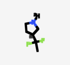 [2H]N1CC[C@H](C(C)(F)F)C1